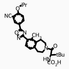 Cc1c(-c2noc(-c3ccc(OC(C)C)c(C#N)c3)n2)ccc2c1CCN(C(=O)C(NC(=O)O)C(C)(C)C)CC2